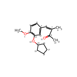 COc1ccc(C=C(C)C(C)=O)cc1OC1CCCC1